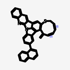 C=C1/C=C\C=C/CSc2cc3c4cc5ccccc5nc4n4c5ccc(-c6cccc7ccccc67)cc5c(c21)c34